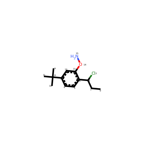 CCC(Cl)c1ccc(C(C)(C)C)cc1ON